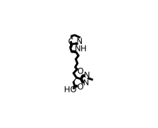 Cc1ncc([C@@H](CC(=O)O)CC(=O)CCCCC2=CC=C3CCCCN=C3N2)cn1